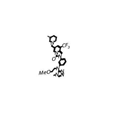 COCCN(c1cccc(-n2cc3c(C(F)(F)F)cc(CN4CCC[C@H](C)C4)cn3c2=O)c1)c1nncn1C